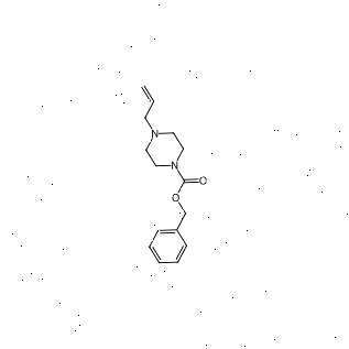 C=CCN1CCN(C(=O)OCc2ccccc2)CC1